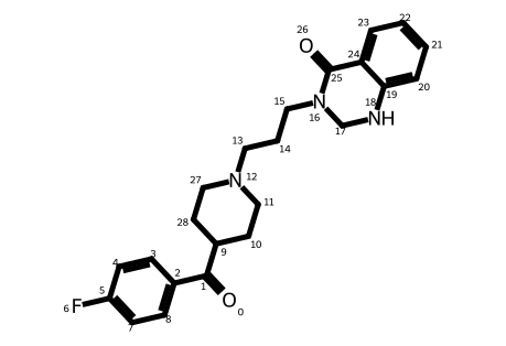 O=C(c1ccc(F)cc1)C1CCN(CCCN2CNc3ccccc3C2=O)CC1